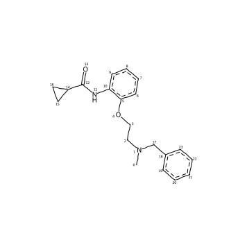 CN(CCOc1ccccc1NC(=O)C1CC1)Cc1ccccc1